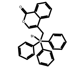 O=c1occ(CP(Br)(c2ccccc2)(c2ccccc2)c2ccccc2)c2ccccc12